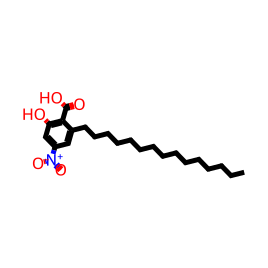 CCCCCCCCCCCCCCCc1cc([N+](=O)[O-])cc(O)c1C(=O)O